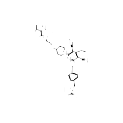 CCc1c(C#N)c(SCc2ccc(CNC(C)=O)cc2)nc(N2CCC(OCCOC(=O)[C@@H](N)C(C)C)CC2)c1C#N